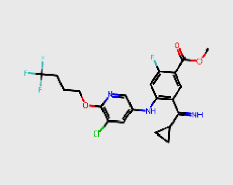 COC(=O)c1cc(C(=N)C2CC2)c(Nc2cnc(OCCCC(F)(F)F)c(Cl)c2)cc1F